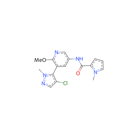 COc1ncc(NC(=O)c2cccn2C)cc1-c1c(Cl)cnn1C